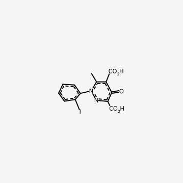 Cc1c(C(=O)O)c(=O)c(C(=O)O)nn1-c1ccccc1I